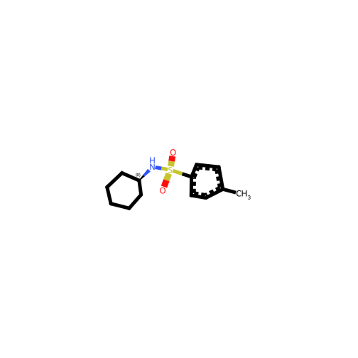 Cc1ccc(S(=O)(=O)N[C@@H]2[CH]CCCC2)cc1